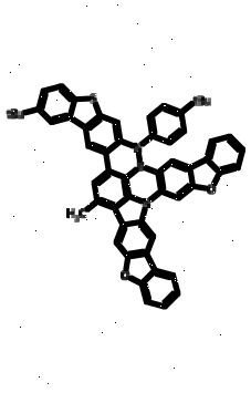 Cc1cc2c3c4c1c1cc5oc6ccccc6c5cc1n4-c1cc4oc5ccccc5c4cc1B3N(c1ccc(C(C)(C)C)cc1)c1cc3sc4ccc(C(C)(C)C)cc4c3cc1-2